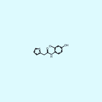 O=C(Cc1cccs1)Nc1ccc(O)cc1Cl